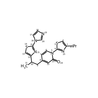 CC(C)c1csc(-n2ccc(CC(C)c3csc(-n4ccnc4)n3)cc2=O)n1